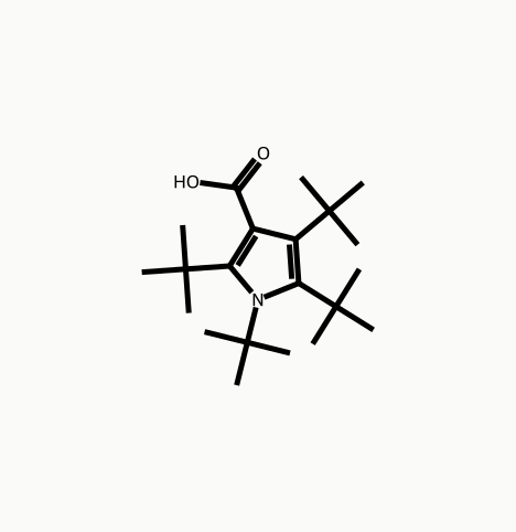 CC(C)(C)c1c(C(=O)O)c(C(C)(C)C)n(C(C)(C)C)c1C(C)(C)C